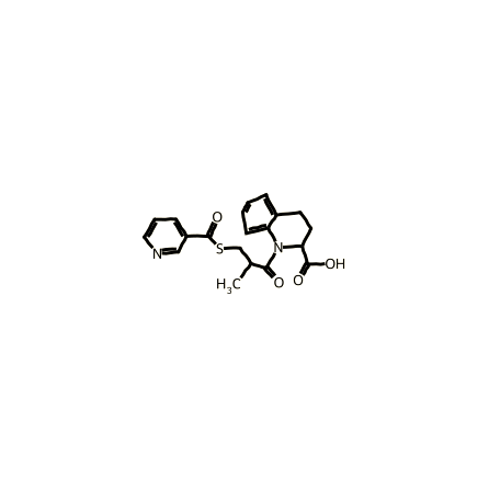 CC(CSC(=O)c1cccnc1)C(=O)N1c2ccccc2CCC1C(=O)O